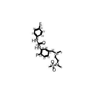 CN(CCN(C)S(C)(=O)=O)Cc1ccc(F)c(NC(=O)Nc2ccc(F)cc2)c1